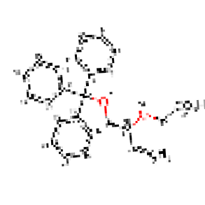 C=C[C@@H](COC(c1ccccc1)(c1ccccc1)c1ccccc1)OCC(=O)O